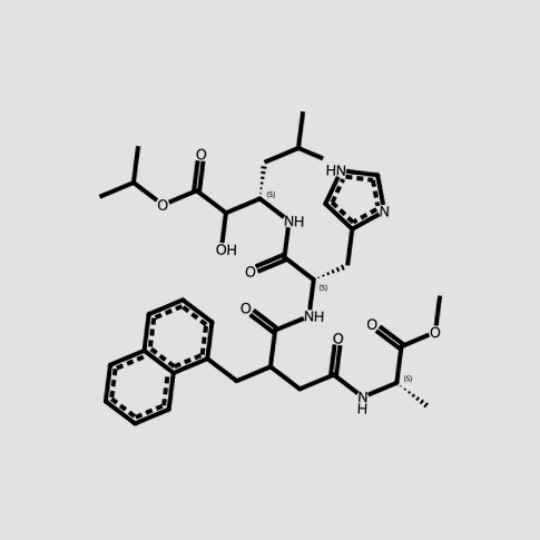 COC(=O)[C@H](C)NC(=O)CC(Cc1cccc2ccccc12)C(=O)N[C@@H](Cc1c[nH]cn1)C(=O)N[C@@H](CC(C)C)C(O)C(=O)OC(C)C